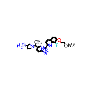 COCCOc1ccc2ccc(-c3nnc4ccc([C@@H](N5CC[C@H](N)C5)C(F)(F)F)cn34)nc2c1F